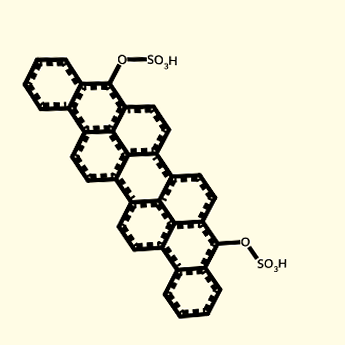 O=S(=O)(O)Oc1c2ccccc2c2ccc3c4ccc5c6ccccc6c(OS(=O)(=O)O)c6ccc(c7ccc1c2c73)c4c65